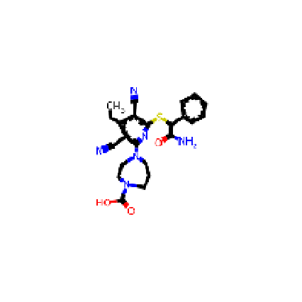 CCc1c(C#N)c(SC(C(N)=O)c2ccccc2)nc(N2CCCN(C(=O)O)CC2)c1C#N